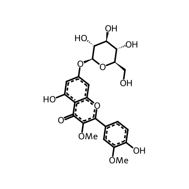 COc1cc(-c2oc3cc(O[C@@H]4O[C@H](CO)[C@@H](O)[C@H](O)[C@H]4O)cc(O)c3c(=O)c2OC)ccc1O